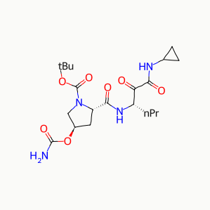 CCC[C@H](NC(=O)[C@@H]1C[C@@H](OC(N)=O)CN1C(=O)OC(C)(C)C)C(=O)C(=O)NC1CC1